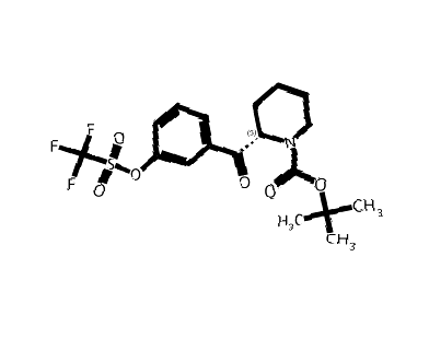 CC(C)(C)OC(=O)N1CCCC[C@H]1C(=O)c1cccc(OS(=O)(=O)C(F)(F)F)c1